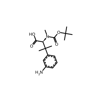 CN(C(=O)OC(C)(C)C)[C@H](C(=O)O)C(C)(C)c1cccc(N)c1